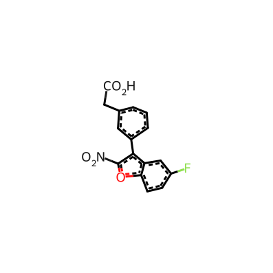 O=C(O)Cc1cccc(-c2c([N+](=O)[O-])oc3ccc(F)cc23)c1